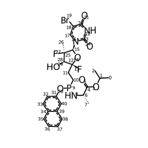 CC(C)OC(=O)[C@H](C)NP(CC[C@@]1(F)O[C@H](n2cc(Br)c(=O)[nH]c2=O)[C@](C)(F)[C@@H]1O)Oc1ccc2ccccc2c1